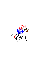 CC(C)CCc1sc(Nc2ncc(-c3cccs3)cc2C(=O)O)nc1-c1ccc(Oc2ccccc2)cc1